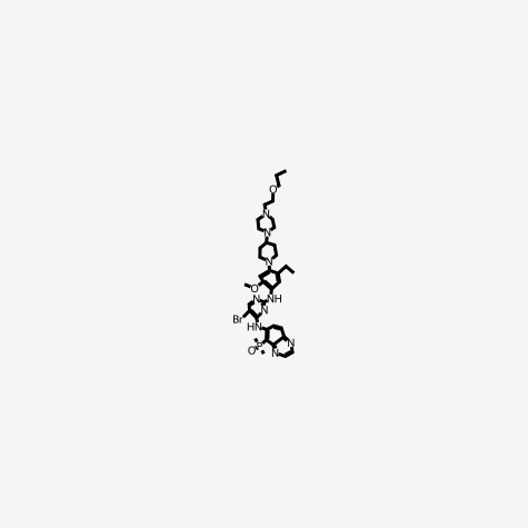 CCCOCCN1CCN(C2CCN(c3cc(OC)c(Nc4ncc(Br)c(Nc5ccc6nccnc6c5P(C)(C)=O)n4)cc3CC)CC2)CC1